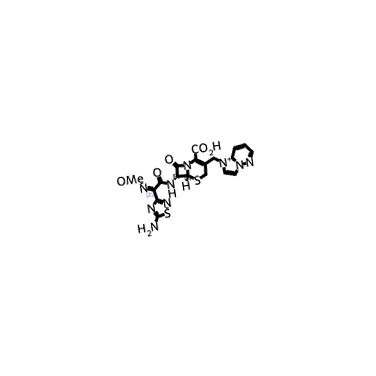 CO/N=C(\C(=O)N[C@@H]1C(=O)N2C(C(=O)O)=C(C[n+]3ccn4ncccc43)CS[C@H]12)c1nsc(N)n1